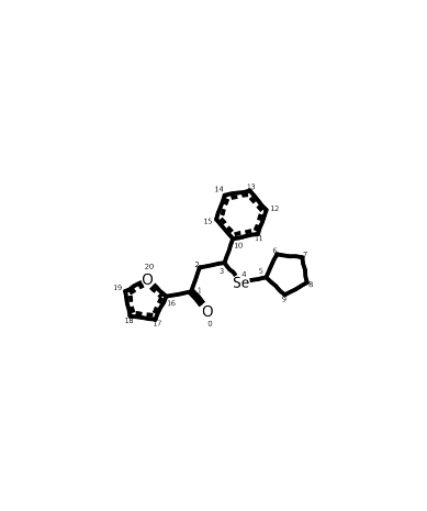 O=C(CC([Se]C1CCCC1)c1ccccc1)c1ccco1